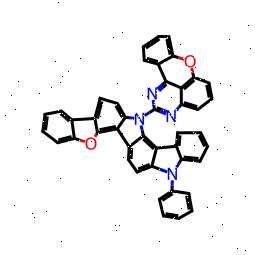 c1ccc(-n2c3ccccc3c3c2ccc2c4c5oc6ccccc6c5ccc4n(-c4nc5c6c(cccc6n4)Oc4ccccc4-5)c23)cc1